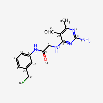 Cc1nc(N)nc(NCC(=O)Nc2cccc(CF)c2)c1C=O